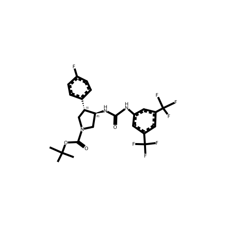 CC(C)(C)OC(=O)N1C[C@H](NC(=O)Nc2cc(C(F)(F)F)cc(C(F)(F)F)c2)[C@@H](c2ccc(F)cc2)C1